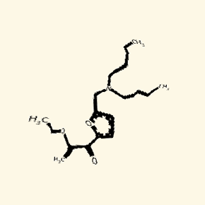 C=C(OCC)C(=O)c1ccc(CN(CCCC)CCCC)o1